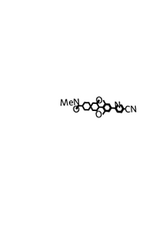 CNC(=O)C1CCC2(CC1)CC(=O)C(c1c(C)cc(-c3ccc(C#N)cn3)cc1C)C(=O)C2